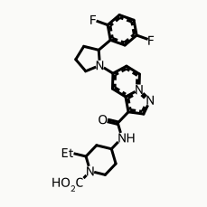 CCC1CC(NC(=O)c2cnn3ccc(N4CCCC4c4cc(F)ccc4F)cc23)CCN1C(=O)O